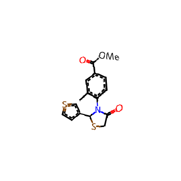 COC(=O)c1ccc(N2C(=O)CSC2c2ccsc2)c(C)c1